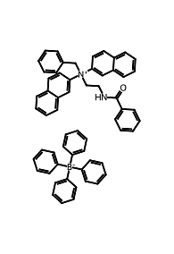 O=C(NCC[N+](Cc1ccccc1)(c1ccc2ccccc2c1)c1ccc2ccccc2c1)c1ccccc1.c1ccc([B-](c2ccccc2)(c2ccccc2)c2ccccc2)cc1